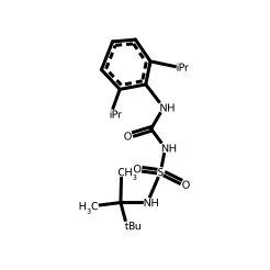 CC(C)c1cccc(C(C)C)c1NC(=O)NS(=O)(=O)NC(C)(C)C(C)(C)C